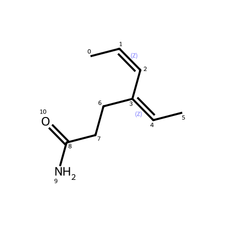 C/C=C\C(=C/C)CCC(N)=O